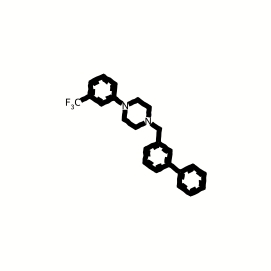 FC(F)(F)c1cccc(N2CCN(Cc3cccc(-c4ccccc4)c3)CC2)c1